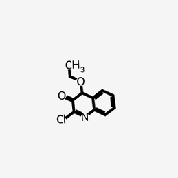 CCOC1C(=O)C(Cl)=Nc2ccccc21